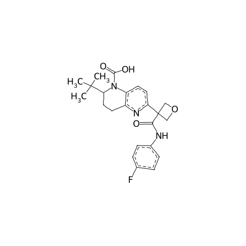 CC(C)(C)C1CCc2nc(C3(C(=O)Nc4ccc(F)cc4)COC3)ccc2N1C(=O)O